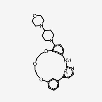 c1cc2cc(c1)-c1ccnc(n1)Nc1ccc(N3CCC(N4CCOCC4)CC3)c(c1)OCCOCCO2